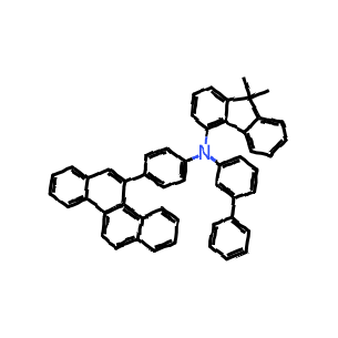 CC1(C)c2ccccc2-c2c(N(c3ccc(-c4cc5ccccc5c5ccc6ccccc6c45)cc3)c3cccc(-c4ccccc4)c3)cccc21